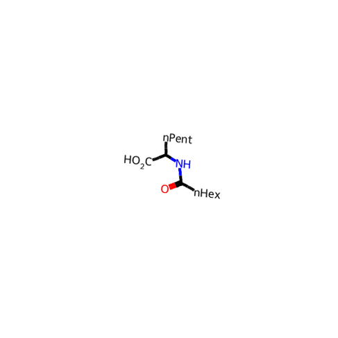 CCCCCCC(=O)NC(CCCCC)C(=O)O